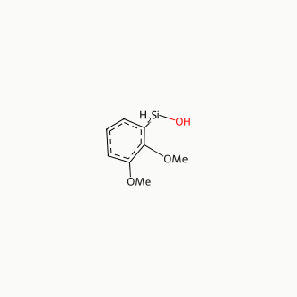 COc1cccc([SiH2]O)c1OC